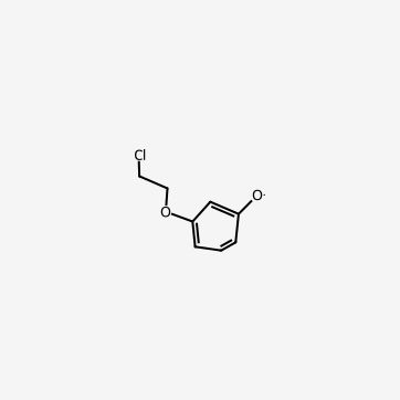 [O]c1cccc(OCCCl)c1